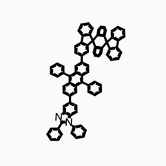 c1ccc(-c2c3ccc(-c4ccc5c(c4)nc(-c4ccccc4)n5-c4ccccc4)cc3c(-c3ccccc3)c3ccc(-c4ccc5c(c4)C4(c6ccccc6-5)c5ccccc5C5(c6ccccc6-c6ccccc65)c5ccccc54)cc23)cc1